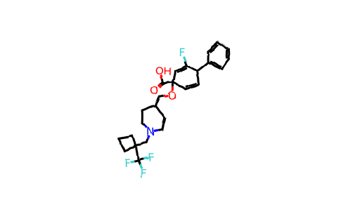 O=C(O)C1(OCC2CCN(CC3(C(F)(F)F)CCC3)CC2)C=CC(c2ccccc2)C(F)=C1